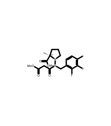 COC(=O)CC(=O)N(Cc1ccc(I)c(F)c1F)N1CCC[C@]1(C)C(=O)OC